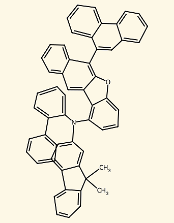 CC1(C)c2ccccc2-c2ccc(N(c3ccccc3-c3ccccc3)c3cccc4oc5c(-c6cc7ccccc7c7ccccc67)c6ccccc6cc5c34)cc21